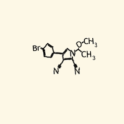 COC(C)n1cc(-c2ccc(Br)cc2)c(C#N)c1C#N